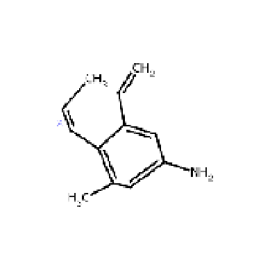 C=Cc1cc(N)cc(C)c1/C=C\C